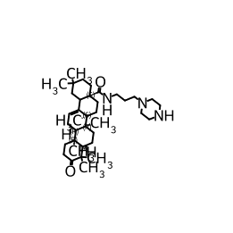 CC1(C)CC[C@]2(C(=O)NCCCN3CCNCC3)CC[C@]3(C)C(=CC[C@@H]4[C@@]5(C)CCC(=O)C(C)(C)[C@@H]5CC[C@]43C)C2C1